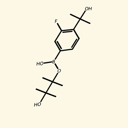 CC(C)(O)c1ccc(B(O)OC(C)(C)C(C)(C)O)cc1F